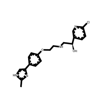 Cc1nc(-c2ccc(OCCNC[C@H](O)c3ccc(Cl)nc3)cc2)c[nH]1